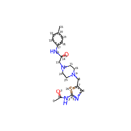 CC(=O)Nc1ncc(CN2CCN(CC(=O)Nc3ccc(C)cc3)CC2)s1